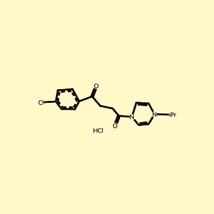 CC(C)N1C=CN(C(=O)CCC(=O)c2ccc(Cl)cc2)C=C1.Cl